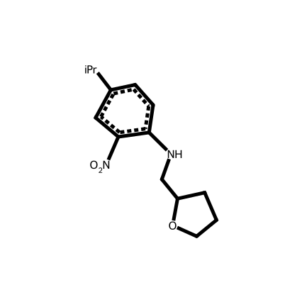 CC(C)c1ccc(NCC2CCCO2)c([N+](=O)[O-])c1